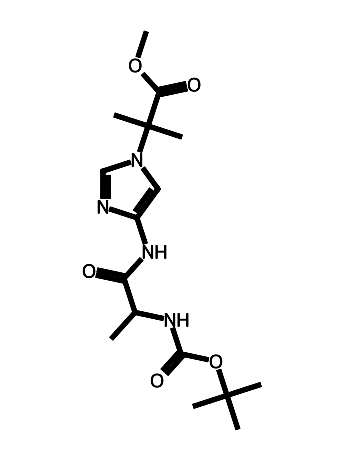 COC(=O)C(C)(C)n1cnc(NC(=O)C(C)NC(=O)OC(C)(C)C)c1